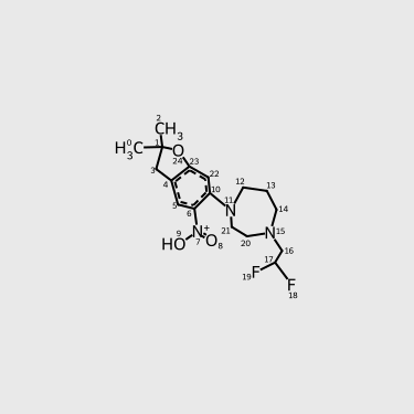 CC1(C)Cc2cc([N+](=O)O)c(N3CCCN(CC(F)F)CC3)cc2O1